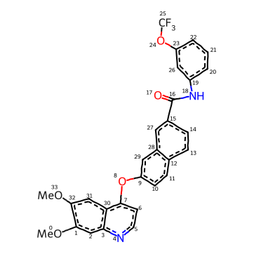 COc1cc2nccc(Oc3ccc4ccc(C(=O)Nc5cccc(OC(F)(F)F)c5)cc4c3)c2cc1OC